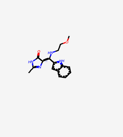 COCCN/C(=C1/N=C(C)NC1=O)c1cc2ccccc2[nH]1